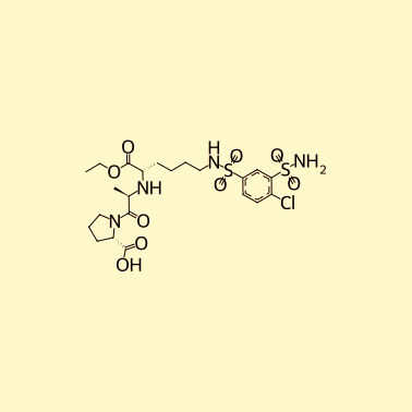 CCOC(=O)[C@H](CCCCNS(=O)(=O)c1ccc(Cl)c(S(N)(=O)=O)c1)N[C@H](C)C(=O)N1CCC[C@H]1C(=O)O